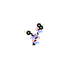 CC(C)(C)NC(=O)C[C@H](NC(=O)CCc1ccc(F)cc1)C(=O)NCCNC(=O)c1ccc(F)c2ccccc12